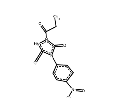 CCC(=O)n1[nH]c(=O)n(-c2ccc([N+](=O)[O-])cc2)c1=O